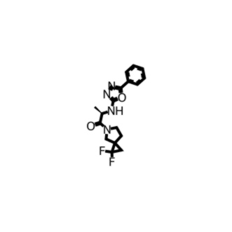 C[C@@H](Nc1nnc(-c2ccccc2)o1)C(=O)N1CCC2(C1)CC2(F)F